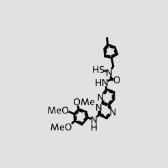 COc1cc(Nc2cnc3ccc(NC(=O)N(S)Cc4ccc(C)cc4)nc3n2)cc(OC)c1OC